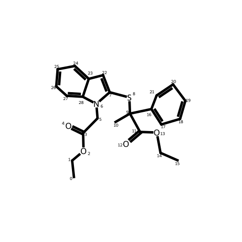 CCOC(=O)Cn1c(SC(C)(C(=O)OCC)c2ccccc2)cc2ccccc21